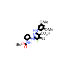 CCc1c(F)c(NC2CCCCC2NC(=O)OC(C)(C)C)nc(Nc2cc(OC)cc(OC)c2)c1C(=O)O